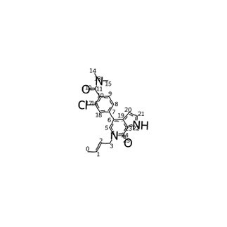 C/C=C/Cn1cc(-c2ccc(C(=O)N(C)C)c(Cl)c2)c2cc[nH]c2c1=O